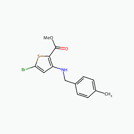 COC(=O)c1sc(Br)cc1NCc1ccc(C)cc1